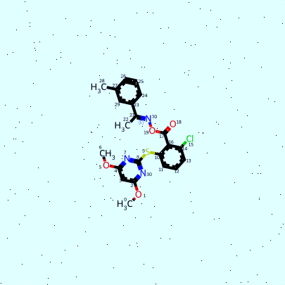 COc1cc(OC)nc(Sc2cccc(Cl)c2C(=O)O/N=C(\C)c2cc#cc(C)c2)n1